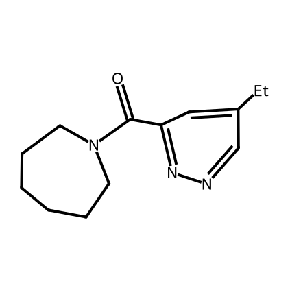 CCc1cnnc(C(=O)N2CCCCCC2)c1